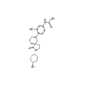 CC(C)C(=O)Nc1ccc(N2CCC[C@]3(CCN([C@H]4CC[C@H](O)CC4)C3=O)C2)c(C#N)c1